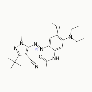 CCN(CC)c1cc(NC(C)=O)c(/N=N/c2c(C#N)c(C(C)(C)C)nn2C)cc1OC